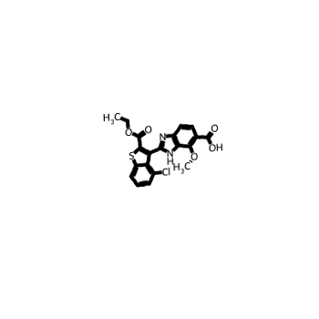 CCOC(=O)c1sc2cccc(Cl)c2c1-c1nc2ccc(C(=O)O)c(OC)c2[nH]1